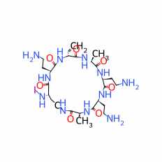 C=C[C@H]1NC(=O)[C@H](CCN)NC(=O)[C@@H](NI)CCNC(=O)[C@H](C)NC(=O)[C@H](CCN)NC(=O)[C@H](CCN)NC(=O)[C@H](C)NC1=O